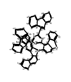 c1ccc2cc3c(cc2c1)c1c2ccccc2ccc1n3-c1ccc2oc3ccccc3c2c1-c1nc(-c2cc3ccccc3c3ccccc23)nc(-c2cc3ccccc3c3ccccc23)n1